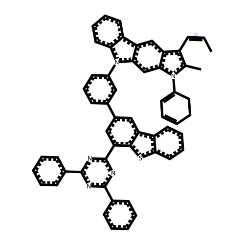 C/C=C\c1c(C)n(C2=CC=CCC2)c2cc3c(cc12)c1ccccc1n3-c1cccc(-c2cc(-c3nc(-c4ccccc4)nc(-c4ccccc4)n3)c3sc4ccccc4c3c2)c1